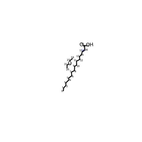 CCCCCCCCCCCCCCC/C=C/C(=O)O.CCOCC